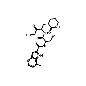 CC(C)CC(NC(=O)c1cc2cccc(F)c2[nH]1)C(=O)NC(C[C@@H]1CCCNC1=O)C(=O)CO